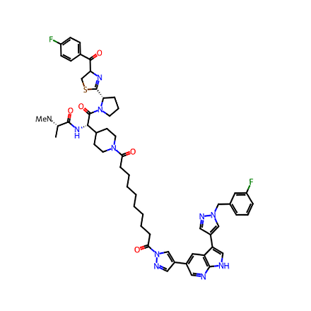 CN[C@@H](C)C(=O)N[C@H](C(=O)N1CCC[C@H]1C1=NC(C(=O)c2ccc(F)cc2)CS1)C1CCN(C(=O)CCCCCCCCC(=O)n2cc(-c3cnc4[nH]cc(-c5cnn(Cc6cccc(F)c6)c5)c4c3)cn2)CC1